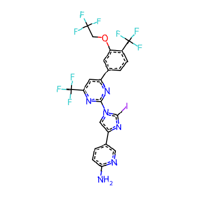 Nc1ccc(-c2cn(-c3nc(-c4ccc(C(F)(F)F)c(OCC(F)(F)F)c4)cc(C(F)(F)F)n3)c(I)n2)cn1